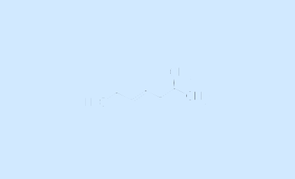 [CH2]C(C)CC=CCC